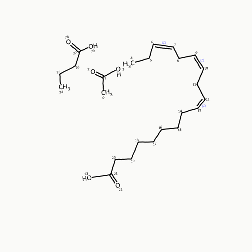 CC(=O)O.CC/C=C\C/C=C\C/C=C\CCCCCCCC(=O)O.CCCC(=O)O